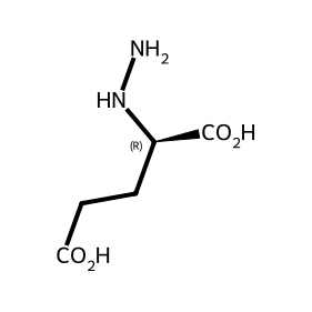 NN[C@H](CCC(=O)O)C(=O)O